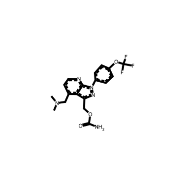 CN(C)Cc1ccnc2c1c(COC(N)=O)nn2-c1ccc(OC(F)(F)F)cc1